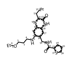 CCOCCCNc1cc2nc(CC(C)C)c(=O)[nH]c2cc1CNC(=O)c1cccs1